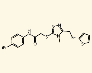 CC(C)c1ccc(NC(=O)CSc2nnc(CSc3cccs3)n2C)cc1